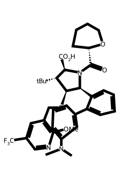 COc1ncc(C(F)(F)F)cc1CO[C@H]1[C@H](C(C)(C)C)[C@@H](C(=O)O)N(C(=O)[C@@H]2CCCCO2)[C@H]1c1ccccc1-c1cccc(N(C)C)c1